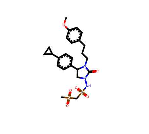 COc1ccc(CCCN2C(=O)N(NS(=O)(=O)CS(C)(=O)=O)CC2c2ccc(C3CC3)cc2)cc1